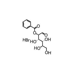 Br.O=C[C@H](OC(=O)c1ccccc1)[C@@H](O)[C@H](O)[C@H](O)CO